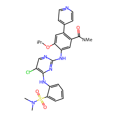 CNC(=O)c1cc(Nc2ncc(Cl)c(Nc3ccccc3S(=O)(=O)N(C)C)n2)c(OC(C)C)cc1-c1ccncc1